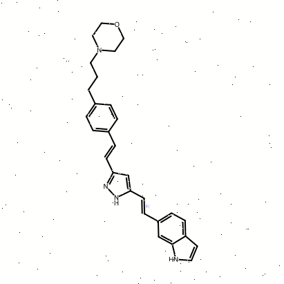 C(=Cc1cc(/C=C/c2ccc3cc[nH]c3c2)[nH]n1)c1ccc(CCCN2CCOCC2)cc1